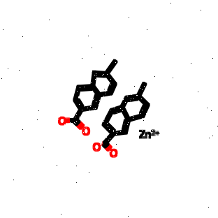 Cc1ccc2cc(C(=O)[O-])ccc2c1.Cc1ccc2cc(C(=O)[O-])ccc2c1.[Zn+2]